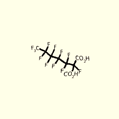 O=C(O)C(F)(C(=O)O)C(F)(F)C(F)(F)C(F)(F)C(F)(F)C(F)(F)F